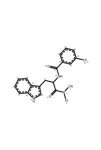 CCN(C#N)C(=O)C(Cc1c[nH]c2ccccc12)NC(=O)c1cccc(C(F)(F)F)c1